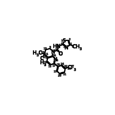 Cc1csc(NC(=O)N2CCC(C)(C)c3ccc(-c4cccc(C(F)(F)F)c4)nc32)n1